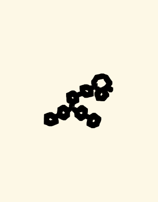 C=C1/C=C\C=C/CN(c2ccc(-c3cccc(N(c4ccc(-c5ccccc5)cc4)c4ccc(-c5ccccc5)cc4)c3)cc2)c2ccccc21